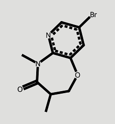 CC1COc2cc(Br)cnc2N(C)C1=O